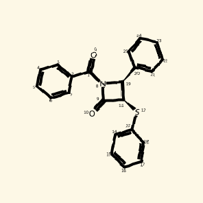 O=C(c1ccccc1)N1C(=O)[C@H](Sc2ccccc2)[C@@H]1c1ccccc1